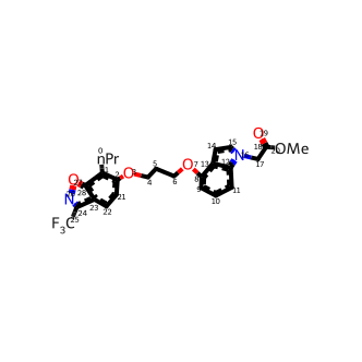 CCCc1c(OCCCOc2cccc3c2ccn3CC(=O)OC)ccc2c(C(F)(F)F)noc12